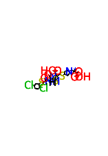 CC(C)(C[n+]1ccc(SCC2=C(C(=O)O)N3C(=O)[C@H](NC(=O)CSc4cc(Cl)ccc4Cl)[C@H]3SC2)cc1)C(=O)C(=O)O